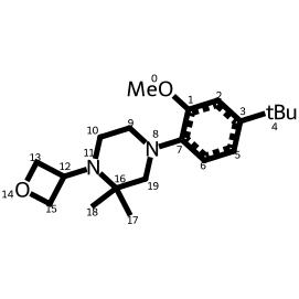 COc1cc(C(C)(C)C)ccc1N1CCN(C2COC2)C(C)(C)C1